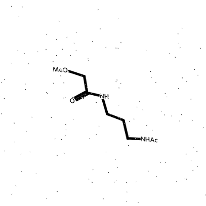 COCC(=O)NCCCNC(C)=O